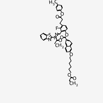 C=CC(=O)OCCCCCCOc1ccc2cc(C(=O)Oc3ccc(CCC(=O)Oc4ccc(C)cc4)c(F)c3/C=N/N(C(=O)C=C)c3nc4ccccc4s3)ccc2c1